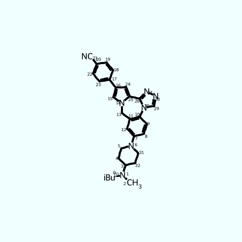 CC[C@H](C)N(C)C1CCN(c2ccc3c(c2)Cn2cc(-c4ccc(C#N)cc4)cc2-c2nncn2-3)CC1